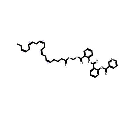 CC/C=C\C/C=C\C/C=C\C/C=C\C/C=C\CCCC(=O)OCOC(=O)c1ccccc1OC(=O)c1ccccc1OC(=O)c1cccnc1